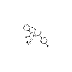 COC(=O)c1c(NC(=O)c2ccc(F)cc2)ccc2ccccc12